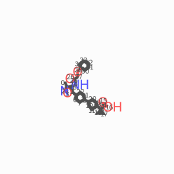 Cc1noc(-c2ccc(-c3ccc(C4(C(=O)O)CC4)cc3)cc2)c1NC(=O)COc1ccccc1